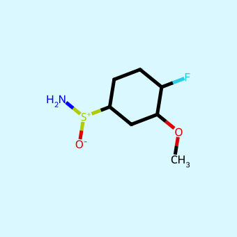 COC1CC([S+](N)[O-])CCC1F